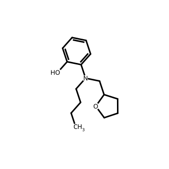 CCCCN(CC1CCCO1)c1ccccc1O